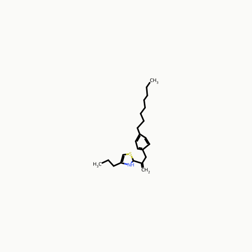 C=C(Cc1ccc(CCCCCCCC)cc1)C1NC(CCC)=CS1